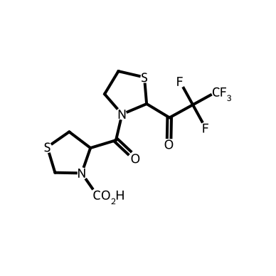 O=C(O)N1CSCC1C(=O)N1CCSC1C(=O)C(F)(F)C(F)(F)F